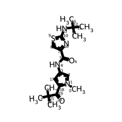 Cn1cc(NC(=O)c2csc(NC(C)(C)C)n2)cc1C(=O)C(C)(C)C